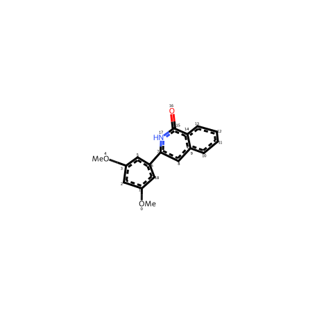 COc1cc(OC)cc(-c2cc3ccccc3c(=O)[nH]2)c1